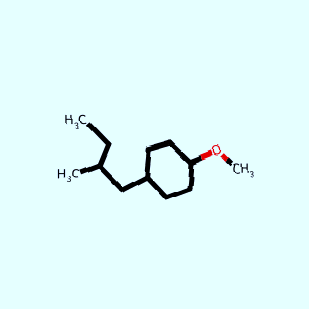 CCC(C)CC1CCC(OC)CC1